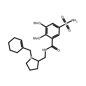 COc1cc(S(N)(=O)=O)cc(C(=O)NCC2CCCN2CC2=CCCCC2)c1OC